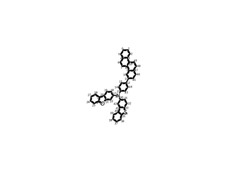 c1ccc2c(c1)ccc1c3cc(-c4ccc(N(c5ccc6c(c5)oc5ccccc56)c5ccc6sc7ccccc7c6c5)cc4)ccc3ccc21